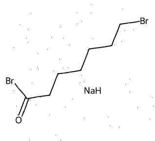 O=C(Br)CCCCCCBr.[NaH]